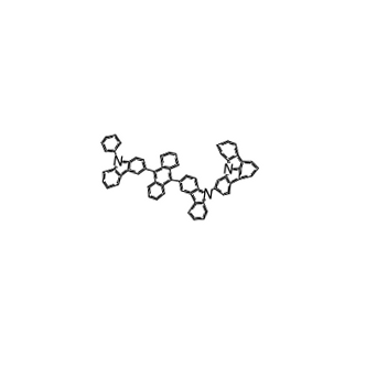 c1ccc(-n2c3ccccc3c3cc(-c4c5ccccc5c(-c5ccc6c(c5)c5ccccc5n6-c5ccc6c7cccc8c9ccccc9n(c6c5)c87)c5ccccc45)ccc32)cc1